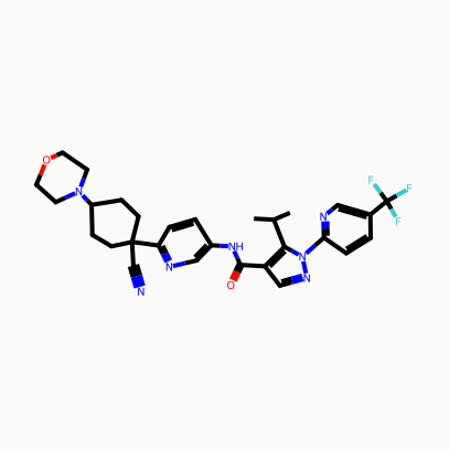 CC(C)c1c(C(=O)Nc2ccc(C3(C#N)CCC(N4CCOCC4)CC3)nc2)cnn1-c1ccc(C(F)(F)F)cn1